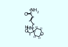 NC(=O)C=CCNC1(CO)CCOCC1